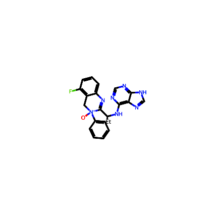 CC[C@H](Nc1ncnc2[nH]cnc12)C1=Nc2cccc(F)c2C[N+]1([O-])c1ccccc1